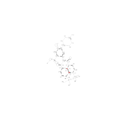 COC(=O)c1nc(Cl)c(N2CCN(C)CC2)nc1N(C(=O)c1ccc(C(C)(C)C)cc1)C(=O)c1ccc(C(C)(C)C)cc1